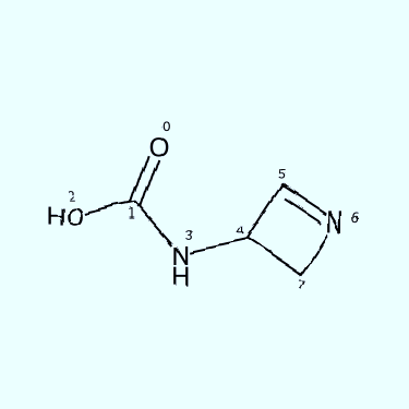 O=C(O)NC1C=NC1